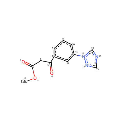 CC(C)(C)OC(=O)CC(=O)c1cccc(-n2cncn2)c1